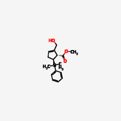 COC(=O)[C@H]1C(CO)=CC[C@@H]1[Si](C)(C)c1ccccc1